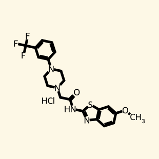 COc1ccc2nc(NC(=O)CN3CCN(c4cccc(C(F)(F)F)c4)CC3)sc2c1.Cl